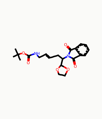 CC(C)(C)OC(=O)NCC=CCC(C1OCCO1)N1C(=O)c2ccccc2C1=O